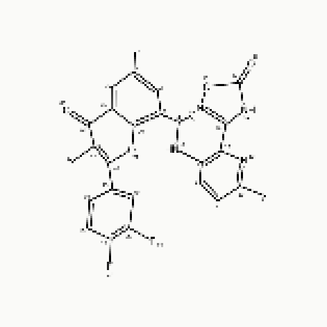 Cc1cc(C(C)Nc2ccc(C)nc2-c2noc(=O)[nH]2)c2oc(-c3ccc(F)c(F)c3)c(C)c(=O)c2c1